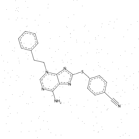 N#Cc1ccc(Sc2nc3c(N)ncn(CCc4ccccc4)c-3n2)cc1